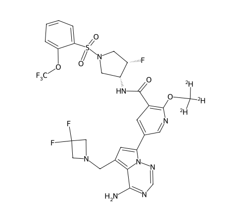 [2H]C([2H])([2H])Oc1ncc(-c2cc(CN3CC(F)(F)C3)c3c(N)ncnn23)cc1C(=O)N[C@@H]1CN(S(=O)(=O)c2ccccc2OC(F)(F)F)C[C@@H]1F